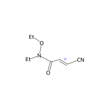 CCON(CC)C(=O)/C=C/C#N